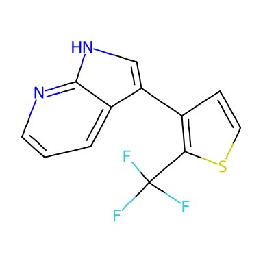 FC(F)(F)c1sccc1-c1c[nH]c2ncccc12